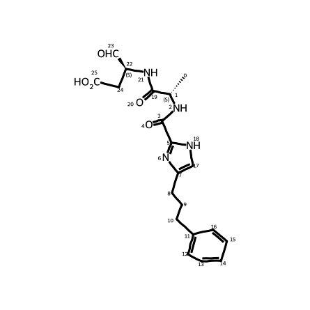 C[C@H](NC(=O)c1nc(CCCc2ccccc2)c[nH]1)C(=O)N[C@H](C=O)CC(=O)O